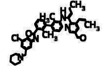 C/C=C\c1cc(C=O)cnc1/C(=C/CC)Nc1cccc(-c2cccc(-c3nc4cc(CN5CCCCC5)cc(Cl)c4o3)c2C)c1C